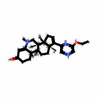 CCOc1cncc(C2=CC[C@H]3[C@@H]4CN(C)C5=CC(=O)CC[C@]5(C)[C@H]4CC[C@]23C)n1